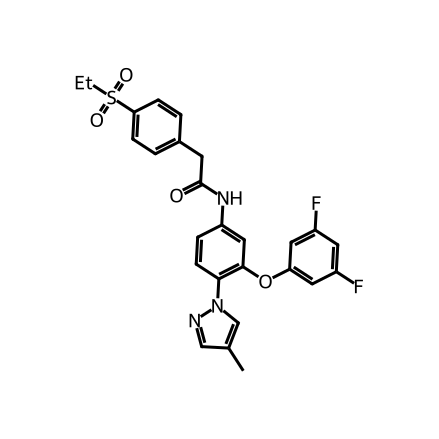 CCS(=O)(=O)c1ccc(CC(=O)Nc2ccc(-n3cc(C)cn3)c(Oc3cc(F)cc(F)c3)c2)cc1